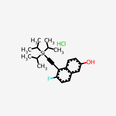 CC(C)[Si](C#Cc1c(F)ccc2cc(O)ccc12)(C(C)C)C(C)C.Cl